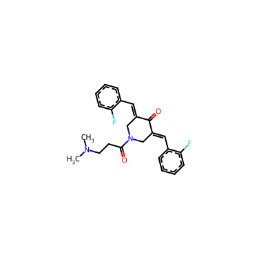 CN(C)CCC(=O)N1C/C(=C\c2ccccc2F)C(=O)/C(=C/c2ccccc2F)C1